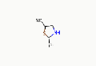 CC(C)C1NCC(C#N)S1